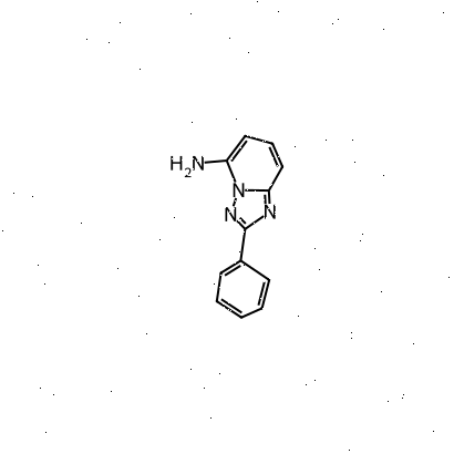 Nc1cccc2nc(-c3ccccc3)nn12